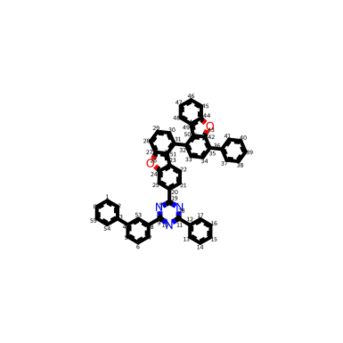 c1ccc(-c2cccc(-c3nc(-c4ccccc4)nc(-c4ccc5c(c4)oc4cccc(-c6ccc(-c7ccccc7)c7oc8ccccc8c67)c45)n3)c2)cc1